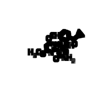 COc1cc(OC)nc(N(C(N)=O)S(=O)(=O)Nc2ccccc2C(=O)C2CC2)n1